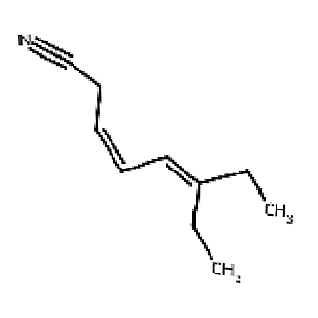 CCC(=C/C=C\CC#N)CC